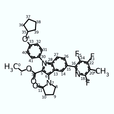 CCOC(=O)c1c(N2CCCC2=O)c2cc(-c3nc(F)c(C)c(F)c3F)ccc2n1-c1ccc(OC2CCCC2)cc1